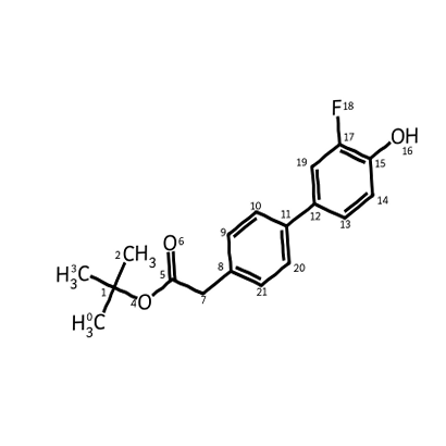 CC(C)(C)OC(=O)Cc1ccc(-c2ccc(O)c(F)c2)cc1